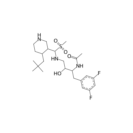 CC(=O)NC(Cc1cc(F)cc(F)c1)C(O)CNC(C1CNCCC1CC(C)(C)C)S(C)(=O)=O